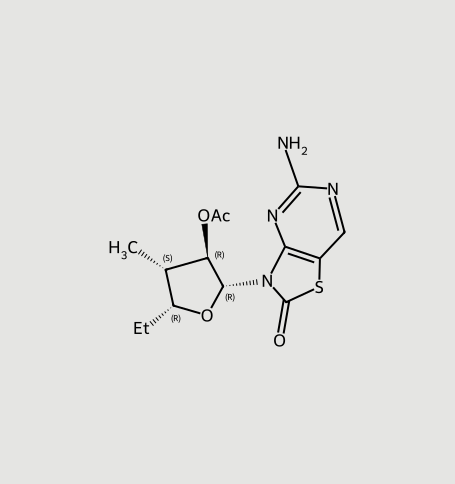 CC[C@H]1O[C@@H](n2c(=O)sc3cnc(N)nc32)[C@H](OC(C)=O)[C@H]1C